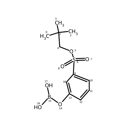 CC(C)(C)COS(=O)(=O)c1cccc(OB(O)O)c1